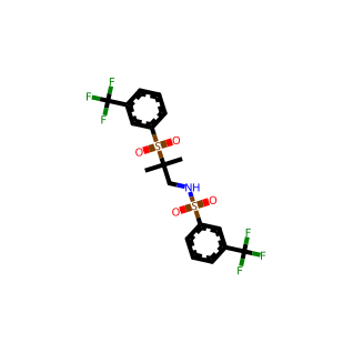 CC(C)(CNS(=O)(=O)c1cccc(C(F)(F)F)c1)S(=O)(=O)c1cccc(C(F)(F)F)c1